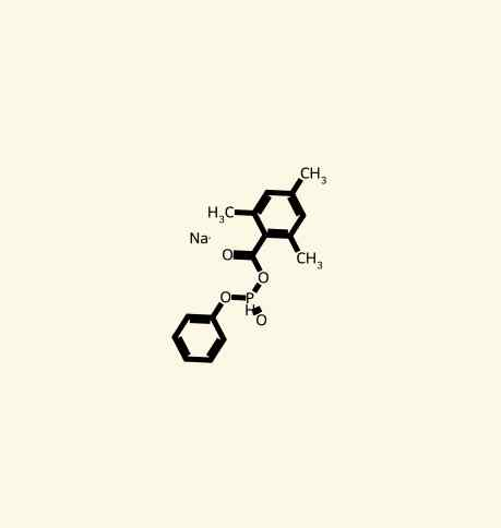 Cc1cc(C)c(C(=O)O[PH](=O)Oc2ccccc2)c(C)c1.[Na]